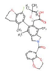 Cc1c(-c2c(C)c3c(c(C)c2[C@H](OC(C)(C)C)C(=O)O)CN(C(=O)c2cccc4c2OCCO4)C3)cc(F)c2c1CCCO2